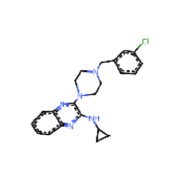 Clc1cccc(CN2CCN(c3nc4ccccc4nc3NC3CC3)CC2)c1